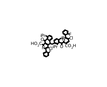 CC(C)c1cccc2c1C(=O)c1c(C(=O)O)nc(-c3ccccc3F)c(Cl)c1C2Cc1ccc(C(C)C)c(C(=O)c2nc(-c3ccccc3F)c(Cl)cc2C(=O)O)c1C(C)C